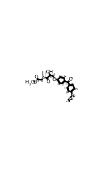 COC(=O)CNC(=O)C(C)COc1ccc(C(=O)c2ccc(N=C=S)cc2)cc1